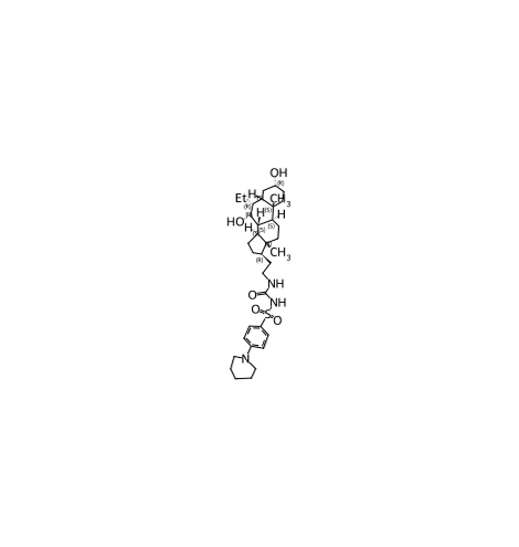 CC[C@H]1[C@@H](O)[C@@H]2[C@H](CC[C@]3(C)[C@@H](CCNC(=O)NS(=O)(=O)c4ccc(N5CCCCC5)cc4)CC[C@@H]23)[C@@]2(C)CC[C@@H](O)C[C@@H]12